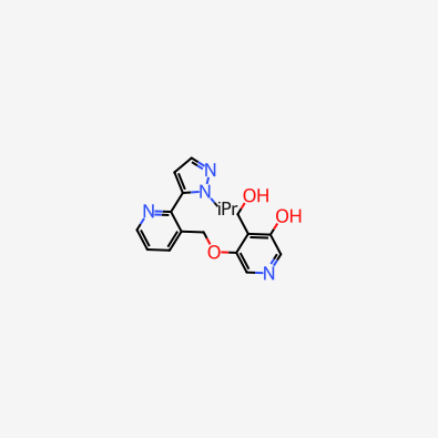 CC(C)n1nccc1-c1ncccc1COc1cncc(O)c1CO